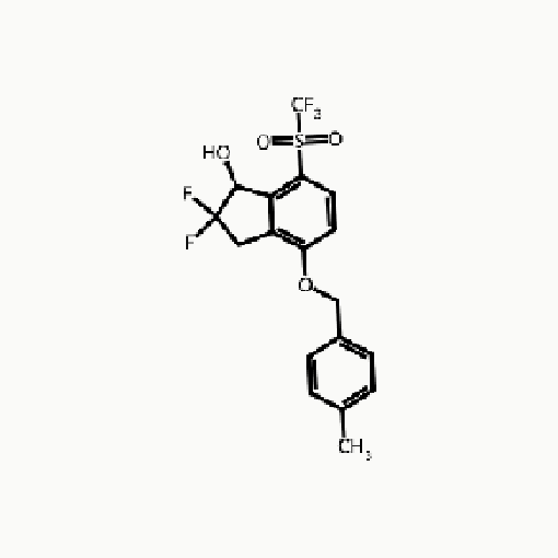 Cc1ccc(COc2ccc(S(=O)(=O)C(F)(F)F)c3c2CC(F)(F)[C@H]3O)cc1